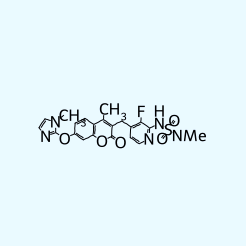 CNS(=O)(=O)Nc1nccc(Cc2c(C)c3ccc(Oc4nccn4C)cc3oc2=O)c1F